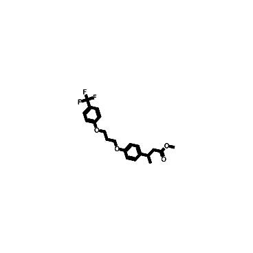 COC(=O)CC(C)c1ccc(OCCCOc2ccc(C(F)(F)F)cc2)cc1